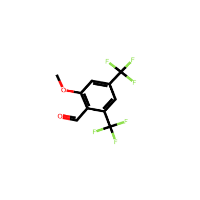 COc1cc(C(F)(F)F)cc(C(F)(F)F)c1C=O